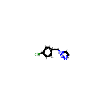 Clc1ccc(Cn2ccnn2)cc1